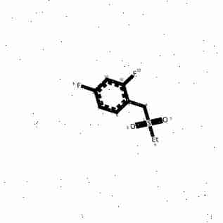 CCS(=O)(=O)Cc1ccc(F)cc1F